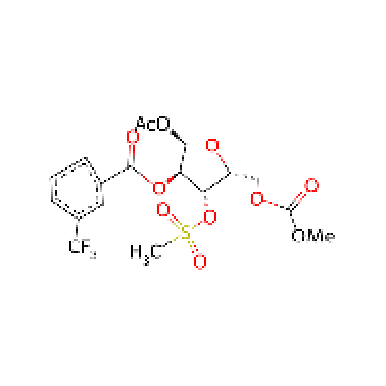 COC(=O)OC[C@H]1O[C@H](OC(C)=O)[C@H](OC(=O)c2cccc(C(F)(F)F)c2)[C@H]1OS(C)(=O)=O